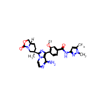 CCOc1cc(C(=O)Nc2cc(C(F)(F)F)n(C)n2)ccc1-c1nc([C@]2(C)CC[C@H]3COC(=O)N3C2)n2ccnc(N)c12